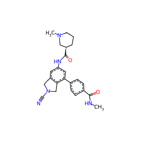 CNC(=O)c1ccc(-c2cc(NC(=O)[C@@H]3CCCN(C)C3)cc3c2CN(C#N)C3)cc1